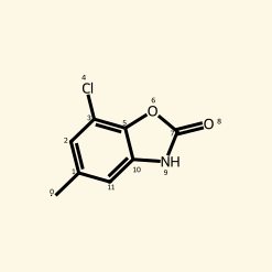 [CH2]c1cc(Cl)c2oc(=O)[nH]c2c1